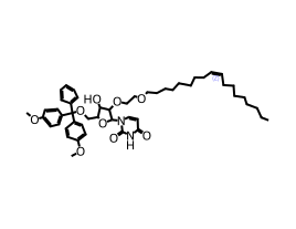 CCCCCCCC/C=C\CCCCCCCCOCCOC1C(O)C(COC(c2ccccc2)(c2ccc(OC)cc2)c2ccc(OC)cc2)OC1n1ccc(=O)[nH]c1=O